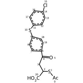 CC(=O)SC(CC(=O)c1ccc(Sc2ccc(Cl)cc2)cc1)C(=O)O